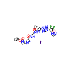 CCc1cc(Nc2nccn3c(-c4ccc(Oc5ncccn5)c(F)c4F)cnc23)ccc1C(=O)NCCCNC(=O)C1CC[N+](C)(CC2CCN(C(=O)OC(C)(C)C)C2)CC1.[I-]